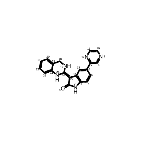 O=C1Nc2ccc(-c3cnccn3)cc2/C1=C1\NCc2ccccc2N1